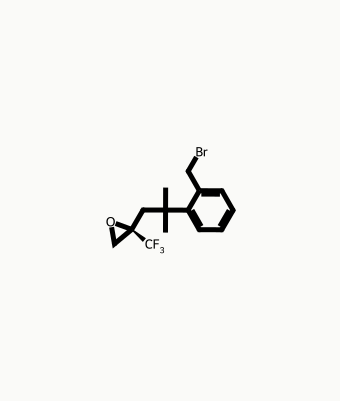 CC(C)(C[C@]1(C(F)(F)F)CO1)c1ccccc1CBr